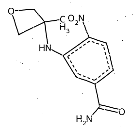 CC1(Nc2cc(C(N)=O)ccc2[N+](=O)[O-])COC1